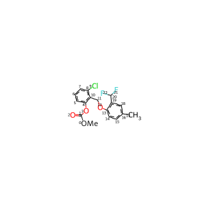 COC(=O)Oc1cccc(Cl)c1COc1ccc(C)cc1C(F)F